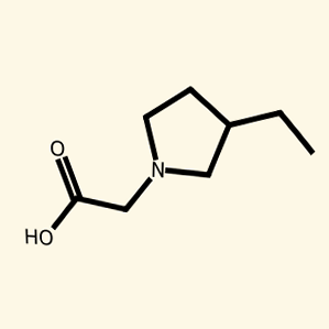 CCC1CCN(CC(=O)O)C1